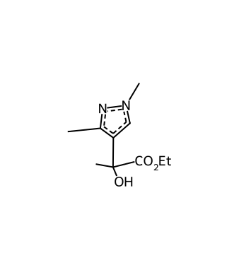 CCOC(=O)C(C)(O)c1cn(C)nc1C